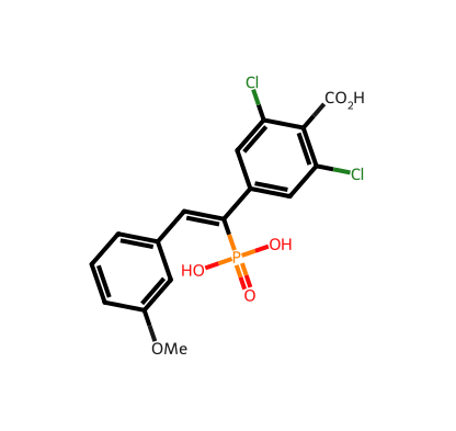 COc1cccc(C=C(c2cc(Cl)c(C(=O)O)c(Cl)c2)P(=O)(O)O)c1